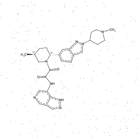 C[C@H]1CC[C@H](c2ccc3cn(C4CCN(C)CC4)nc3c2)N(C(=O)C(=O)Nc2cncc3cn[nH]c23)C1